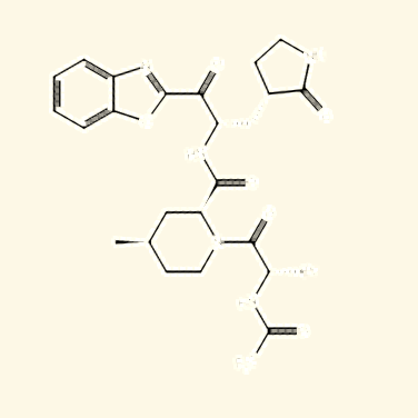 CC(C)[C@H](NC(=O)C(F)(F)F)C(=O)N1CC[C@@H](C)C[C@H]1C(=O)N[C@@H](C[C@@H]1CCNC1=O)C(=O)c1nc2ccccc2o1